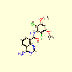 COc1cc(OC)c(Cl)c(NC(=O)c2cccc3c(N)ncnc23)c1Cl